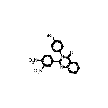 CCC(C)c1ccc(-n2c(-c3ccc([N+](=O)[O-])c([N+](=O)[O-])c3)nc3ccccc3c2=O)cc1